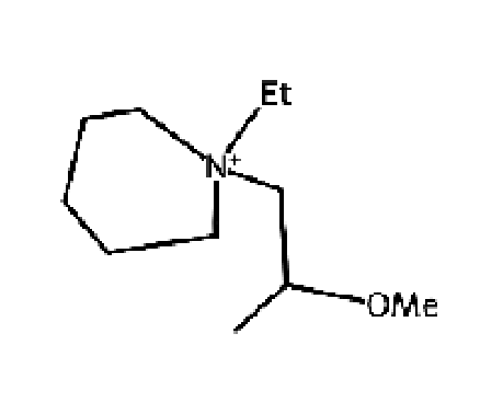 CC[N+]1(CC(C)OC)CCCCC1